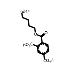 CCCCCCCCCCCCCCOC(=O)c1ccc(C(=O)O)cc1C(=O)O